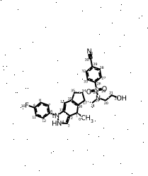 C[C@H]1C2=CNN(c3ccc(F)cc3)C2=CC2=C1[C@@H](CN(CCO)S(=O)(=O)c1ccc(C#N)cc1)CC2